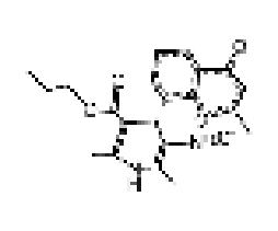 [C-]#[N+]C1=C(C)NC(C)=C(C(=O)OCCC)[C@@H]1c1cccc2c(=O)cc(C)oc12